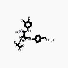 O=C(O)C(F)(F)F.O=C(O)Cc1ccc(NCc2nonc2/C(=N\O)Nc2ccc(F)c(Cl)c2)cc1